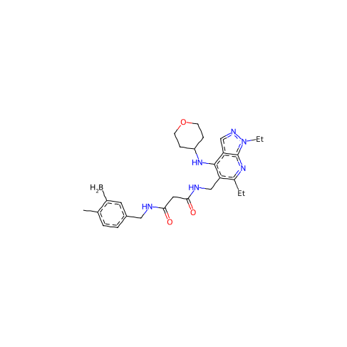 Bc1cc(CNC(=O)CC(=O)NCc2c(CC)nc3c(cnn3CC)c2NC2CCOCC2)ccc1C